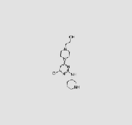 OCCN1CCN(c2cc(Cl)nc(N[C@H]3CCCNC3)n2)CC1